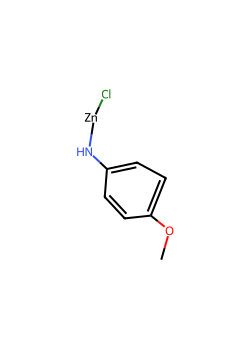 COc1ccc([NH][Zn][Cl])cc1